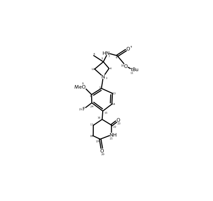 COc1c(N2CC(C)(NC(=O)OC(C)(C)C)C2)ccc(C2CCC(=O)NC2=O)c1F